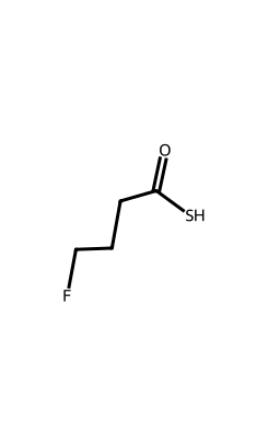 O=C(S)CCCF